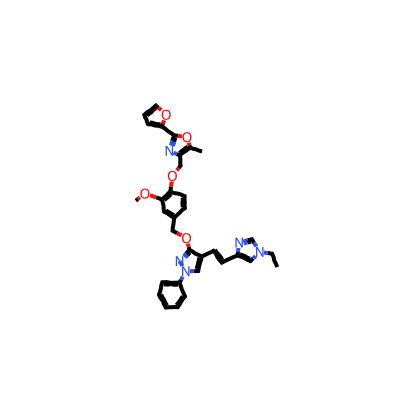 CCn1cnc(C=Cc2cn(-c3ccccc3)nc2OCc2ccc(OCc3nc(-c4ccco4)oc3C)c(OC)c2)c1